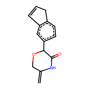 C=C1COC(c2ccc3c(c2)C=CC3)C(=O)N1